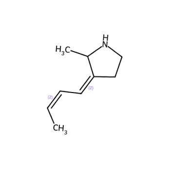 C/C=C\C=C1\CCNC1C